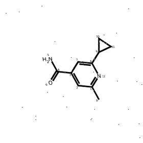 Cc1cc(C(N)=O)cc(C2CC2)n1